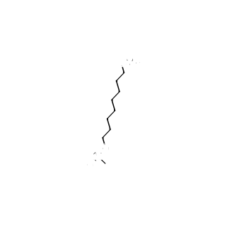 COCCCCCCCCOS(C)(=O)=O